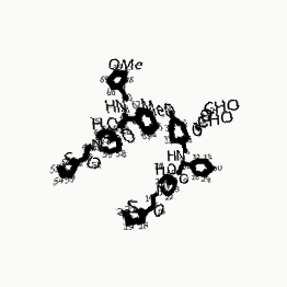 COc1ccc(CNC(C(=O)O[C@H]2C[N+]3(CC(=O)c4cccs4)CCC2CC3)c2ccccc2)cc1.COc1ccc(CNC(C(=O)O[C@H]2C[N+]3(CC(=O)c4cccs4)CCC2CC3)c2ccccc2)cc1.O=C[O-].O=C[O-]